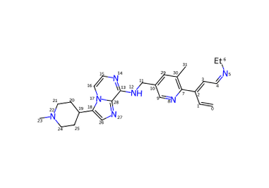 C=C/C(=C\C=N/CC)c1ncc(CNc2nccn3c(C4CCN(C)CC4)cnc23)cc1C